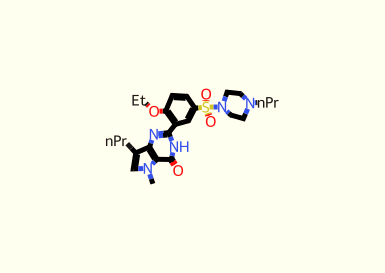 CCCc1cn(C)c2c(=O)[nH]c(-c3cc(S(=O)(=O)N4CCN(CCC)CC4)ccc3OCC)nc12